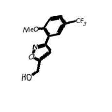 COc1ccc(C(F)(F)F)cc1-c1cc(CO)on1